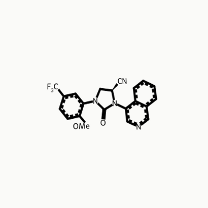 COc1ccc(C(F)(F)F)cc1N1C[C@@H](C#N)N(c2cncc3ccccc23)C1=O